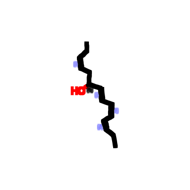 CC\C=C/C=C\C=C\[C@@H](O)C/C=C\CC